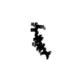 C=C(C)C(=O)OCC(F)(F)C(F)(F)OC(F)(C(F)(F)F)C(F)(F)OC(F)=C(F)F